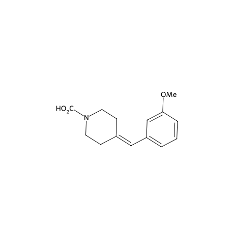 COc1cccc(C=C2CCN(C(=O)O)CC2)c1